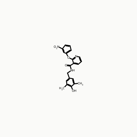 Cc1cc(CNC(=O)c2cccnc2Oc2cccc([N+](=O)[O-])c2)cc(C)c1O